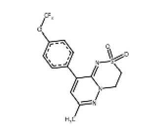 CC1=NN2CCS(=O)(=O)N=C2C(c2ccc(OC(F)(F)F)cc2)=C1